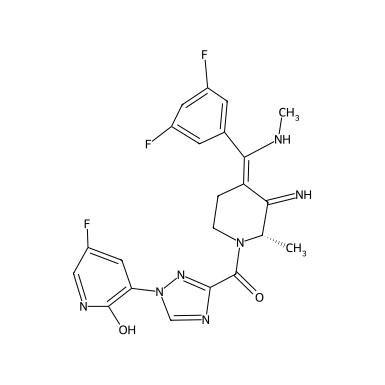 CN/C(=C1/CCN(C(=O)c2ncn(-c3cc(F)cnc3O)n2)[C@@H](C)C1=N)c1cc(F)cc(F)c1